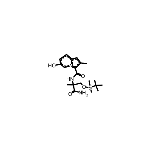 Cc1cc2ccc(O)cn2c1C(=O)NC(C)(CO[Si](C)(C)C(C)(C)C)C(N)=O